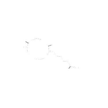 NC(=O)CCCCCN1CCCCCCNC(=O)CCCCC1=O